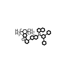 CC1(C)CCC(C)(C)c2cc3c(cc21)oc1cccc(-c2ccc4cc(N(c5cc(-c6ccccc6)cc(-c6ccccc6)c5)c5cccc6ccccc56)ccc4c2)c13